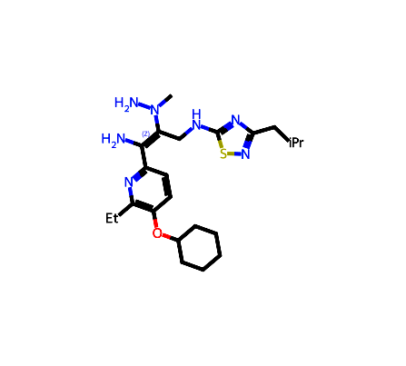 CCc1nc(/C(N)=C(\CNc2nc(CC(C)C)ns2)N(C)N)ccc1OC1CCCCC1